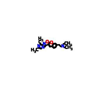 CCN(CC)CCc1ccc2cc(-c3cn4cc(C)nc(C)c4n3)c(=O)oc2c1